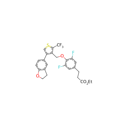 CCOC(=O)CCc1cc(F)c(OCc2c(-c3ccc4c(c3)CCO4)csc2C(F)(F)F)c(F)c1